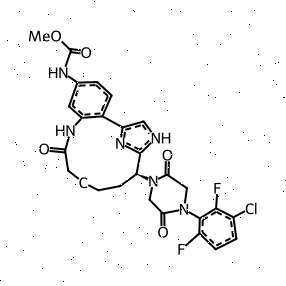 COC(=O)Nc1ccc2c(c1)NC(=O)CCCC[C@H](N1CC(=O)N(c3c(F)ccc(Cl)c3F)CC1=O)c1nc-2c[nH]1